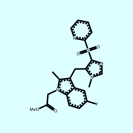 COC(=O)Cn1c(C)c(Cc2c(S(=O)(=O)c3ccccn3)ncn2C)c2cc(F)ccc21